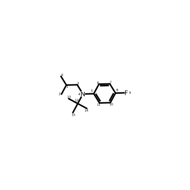 CC(C)CN(c1ccc(F)cc1)C(C)(C)C